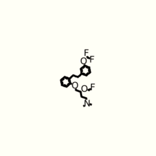 CN(C)CCC(COc1ccccc1CCc1cccc(OC(F)F)c1)OCF